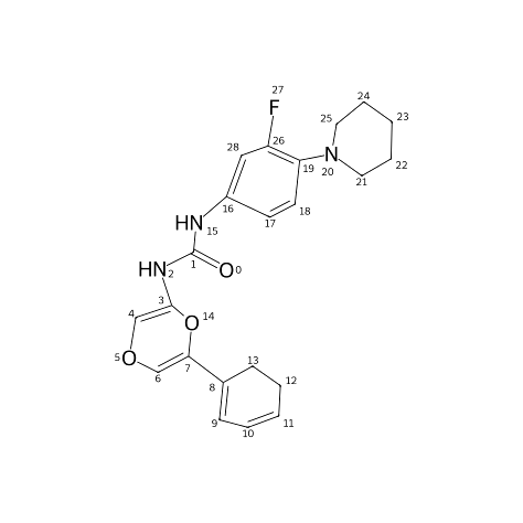 O=C(NC1=COC=C(C2=CC=CCC2)O1)Nc1ccc(N2CCCCC2)c(F)c1